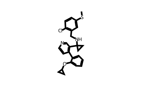 CSc1ccc(Cl)c(CNC2(c3cnccc3-c3ccccc3OC3CC3)CC2)c1